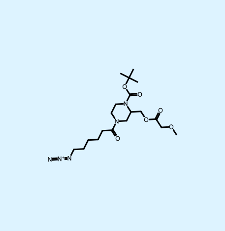 COCC(=O)OCC1CN(C(=O)CCCCCN=[N+]=[N-])CCN1C(=O)OC(C)(C)C